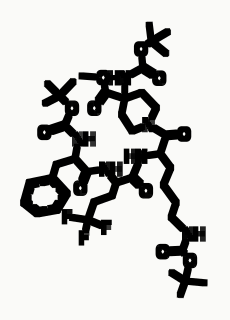 COC(=O)C1(NC(=O)OC(C)(C)C)CCN(C(=O)C(CCCCNC(=O)OC(C)(C)C)NC(=O)C(CCC(F)(F)F)NC(=O)C(Cc2ccccc2)NC(=O)OC(C)(C)C)CC1